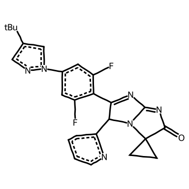 CC(C)(C)c1cnn(-c2cc(F)c(C3=NC4=NC(=O)C5(CC5)N4C3c3ccccn3)c(F)c2)c1